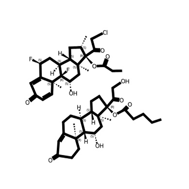 CCC(=O)O[C@]1(C(=O)CCl)[C@@H](C)C[C@H]2[C@@H]3C[C@H](F)C4=CC(=O)C=C[C@]4(C)[C@@]3(F)[C@@H](O)C[C@@]21C.CCCCC(=O)O[C@]1(C(=O)CO)CC[C@H]2[C@@H]3CCC4=CC(=O)CC[C@]4(C)[C@H]3[C@@H](O)C[C@@]21C